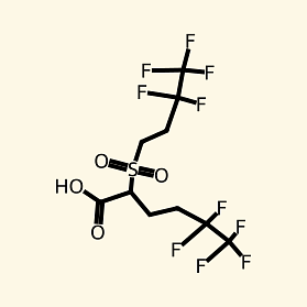 O=C(O)C(CCC(F)(F)C(F)(F)F)S(=O)(=O)CCC(F)(F)C(F)(F)F